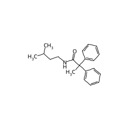 CC(C)CCNC(=O)C(C)(c1ccccc1)c1ccccc1